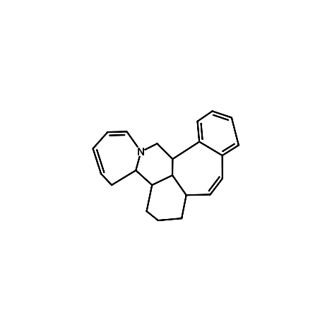 C1=CCC2C3CCCC4C=Cc5ccccc5C(CN2C=C1)C43